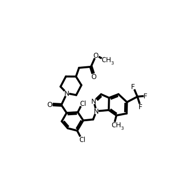 COC(=O)CC1CCN(C(=O)c2ccc(Cl)c(Cn3ncc4cc(C(F)(F)F)cc(C)c43)c2Cl)CC1